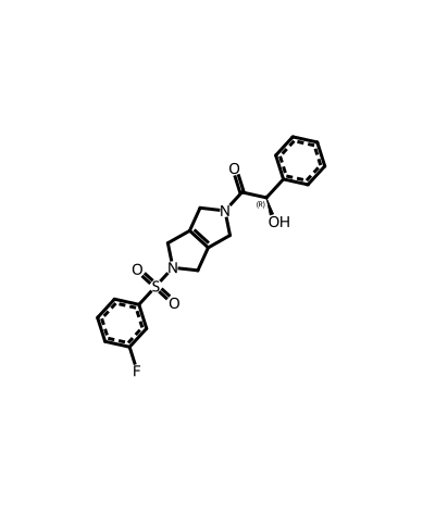 O=C([C@H](O)c1ccccc1)N1CC2=C(C1)CN(S(=O)(=O)c1cccc(F)c1)C2